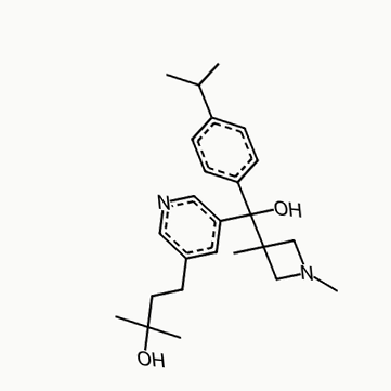 CC(C)c1ccc(C(O)(c2cncc(CCC(C)(C)O)c2)C2(C)CN(C)C2)cc1